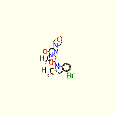 C[C@H]1Cc2c(Br)cccc2N1C(=O)Cc1nc(N2CCOCC2)cc(=O)n1C